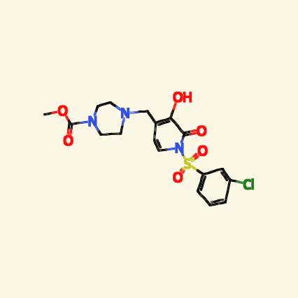 COC(=O)N1CCN(Cc2ccn(S(=O)(=O)c3cccc(Cl)c3)c(=O)c2O)CC1